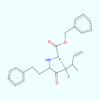 C=CC(C)C(F)(F)C(=O)C(CCc1ccccc1)NCC(=O)OCc1ccccc1